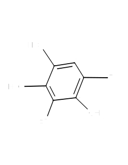 CCc1c(C)c(C)cc(F)c1C